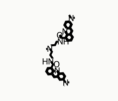 CN(CCCNC(=O)c1cccc2cc3cc(N(C)C)ccc3nc12)CCCNC(=O)c1cccc2cc3cc(N(C)C)ccc3nc12